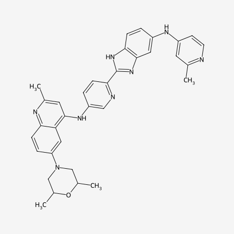 Cc1cc(Nc2ccc3[nH]c(-c4ccc(Nc5cc(C)nc6ccc(N7CC(C)OC(C)C7)cc56)cn4)nc3c2)ccn1